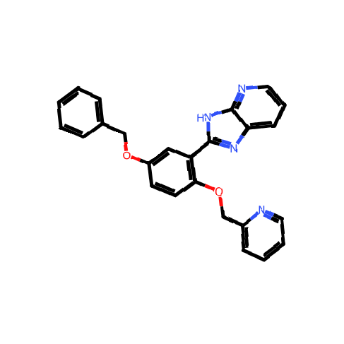 c1ccc(COc2ccc(OCc3ccccn3)c(-c3nc4cccnc4[nH]3)c2)cc1